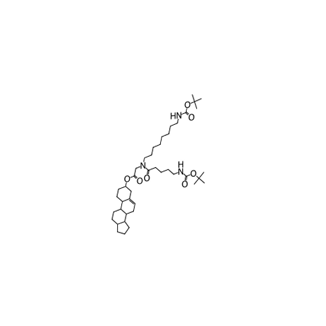 CC(C)(C)OC(=O)NCCCCCCCCN(CC(=O)OC1CCC2C(=CCC3C4CCCC4CCC23)C1)C(=O)CCCCNC(=O)OC(C)(C)C